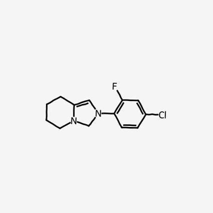 Fc1cc(Cl)ccc1N1C=C2CCCCN2C1